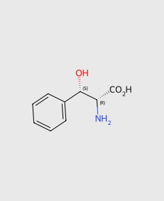 N[C@@H](C(=O)O)[C@@H](O)c1ccccc1